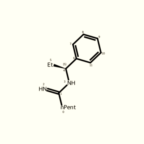 CCCCCC(=N)N[C@@H](CC)c1ccccc1